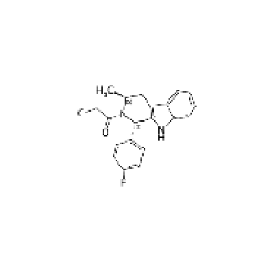 C[C@H]1Cc2c([nH]c3ccccc23)[C@H](c2ccc(F)cc2)N1C(=O)CCl